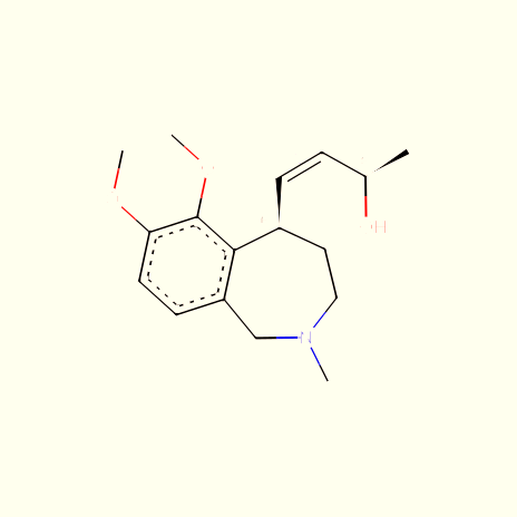 COc1ccc2c(c1OC)[C@@H](/C=C\[C@@H](C)O)CCN(C)C2